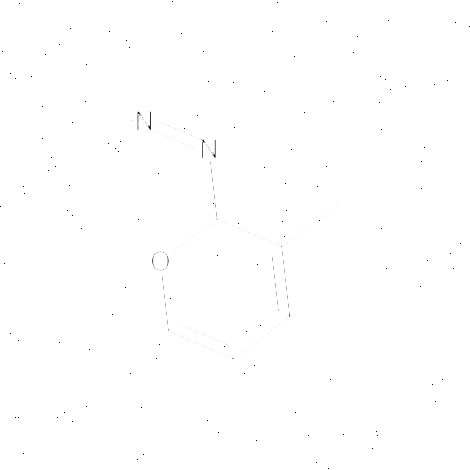 CC1=CC=COC1N=[N]